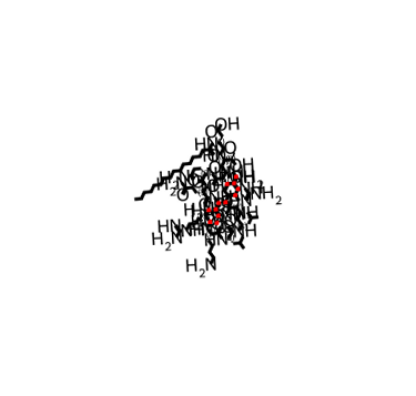 CCCCCCCCCCCCCCCC(=O)N[C@@H](CC(=O)O)C(=O)N[C@H](C(=O)N[C@@H](CCCNC(=N)N)C(=O)N[C@@H](CCC(N)=O)C(=O)N[C@@H](CCC(N)=O)C(=O)N[C@@H](Cc1ccc(O)cc1)C(=O)N[C@@H](CCCNC(=N)N)C(=O)N[C@@H](CCCCN)C(=O)N[C@@H](CC(C)C)C(=O)N[C@@H](CC(C)C)C(=O)N[C@@H](CCCCN)C(=O)N[C@@H](CO)C(N)=O)[C@@H](C)O